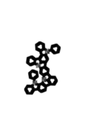 c1ccc(-n2c3ccccc3c3c4c5ccccc5n5c6cc7c(cc6c(cc32)c45)c2cccc3c4ccc5c6ccccc6n(-c6ccccc6)c5c4n7c23)cc1